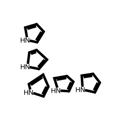 c1cc[nH]c1.c1cc[nH]c1.c1cc[nH]c1.c1cc[nH]c1.c1cc[nH]c1